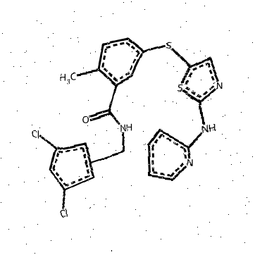 Cc1ccc(Sc2cnc(Nc3ccccn3)s2)cc1C(=O)NCc1cc(Cl)cc(Cl)c1